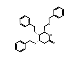 O=C1C[C@H](OCc2ccccc2)[C@H](OCc2ccccc2)[C@@H](COCc2ccccc2)N1